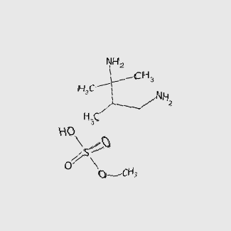 CC(CN)C(C)(C)N.COS(=O)(=O)O